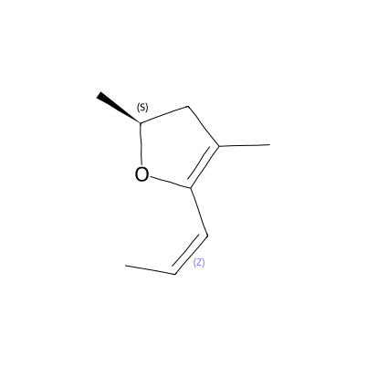 C/C=C\C1=C(C)C[C@H](C)O1